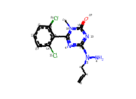 C=CCN(N)c1nc(-c2c(Cl)cccc2Cl)n(C)c(=O)n1